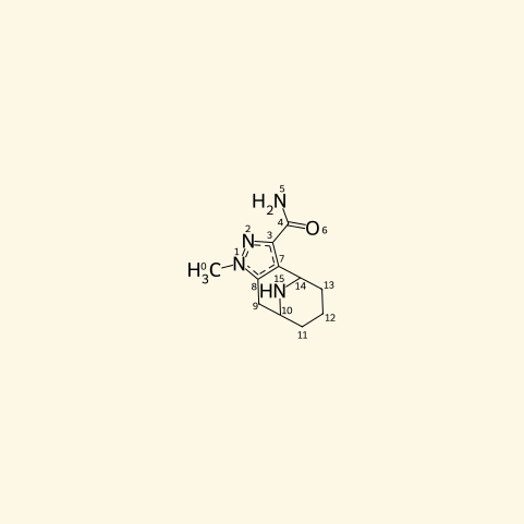 Cn1nc(C(N)=O)c2c1CC1CCCC2N1